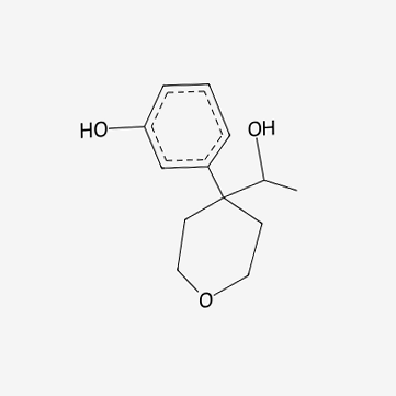 CC(O)C1(c2cccc(O)c2)CCOCC1